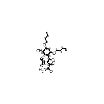 CCCCOc1cc(OCCCC)c(-c2onc(C(N)=O)c2[N+](=O)[O-])cc1Cl